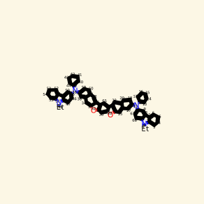 CCn1c2ccccc2c2cc(N(c3ccccc3)c3ccc4cc5c(cc4c3)oc3cc4oc6cc7cc(N(c8ccccc8)c8ccc9c(c8)c8ccccc8n9CC)ccc7cc6c4cc35)ccc21